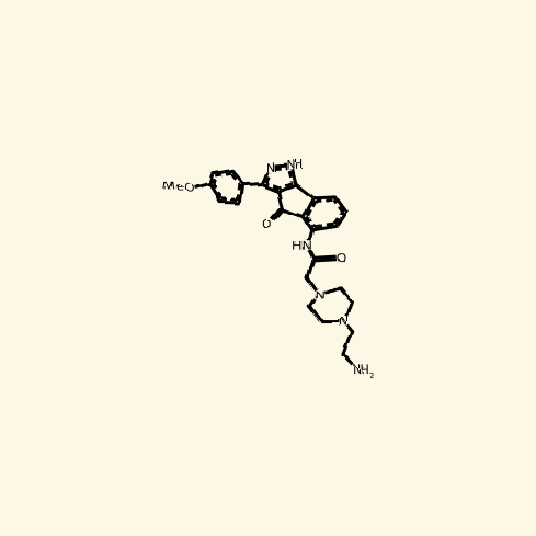 COc1ccc(-c2n[nH]c3c2C(=O)c2c(NC(=O)CN4CCN(CCN)CC4)cccc2-3)cc1